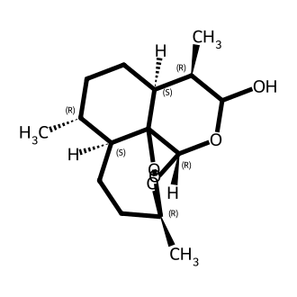 C[C@@H]1CC[C@H]2[C@@H](C)C(O)O[C@@H]3O[C@@]4(C)CC[C@@H]1C32OO4